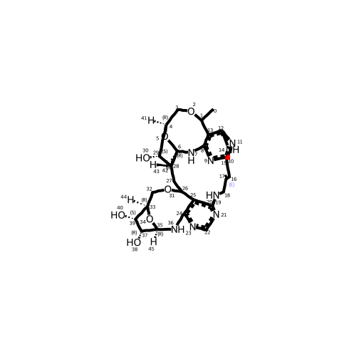 CC1OC[C@H]2O[C@H]3Nc4ncnc(c41)NC/C=C/CNc1ncnc4c1C(C[C@@H]3[C@@H]2O)OC[C@H]1O[C@@H](N4)[C@H](O)[C@@H]1O